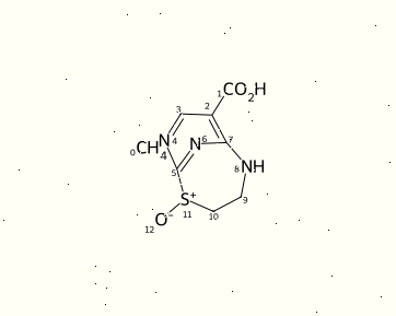 C.O=C(O)c1cnc2nc1NCC[S+]2[O-]